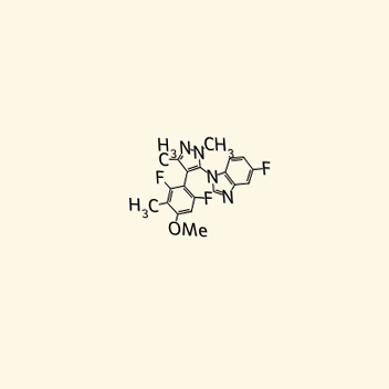 COc1cc(F)c(-c2c(C)nn(C)c2-n2cnc3cc(F)ccc32)c(F)c1C